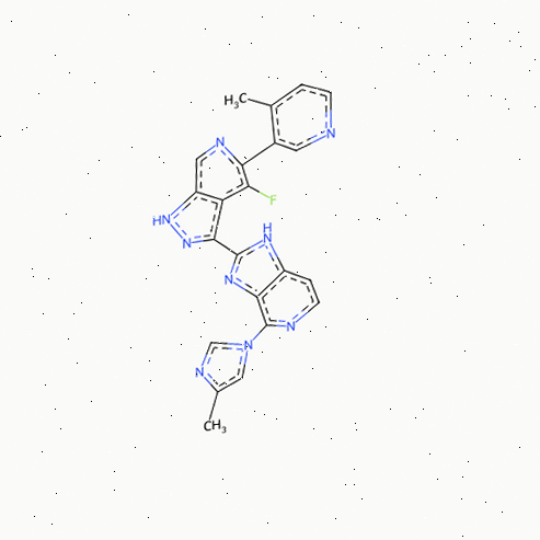 Cc1cn(-c2nccc3[nH]c(-c4n[nH]c5cnc(-c6cnccc6C)c(F)c45)nc23)cn1